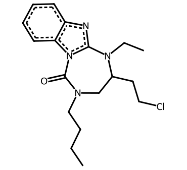 CCCCN1CC(CCCl)N(CC)c2nc3ccccc3n2C1=O